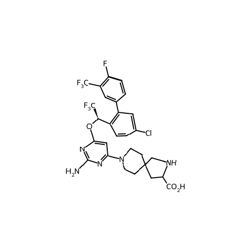 Nc1nc(O[C@H](c2ccc(Cl)cc2-c2ccc(F)c(C(F)(F)F)c2)C(F)(F)F)cc(N2CCC3(CC2)CNC(C(=O)O)C3)n1